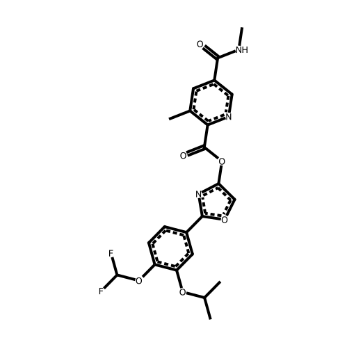 CNC(=O)c1cnc(C(=O)Oc2coc(-c3ccc(OC(F)F)c(OC(C)C)c3)n2)c(C)c1